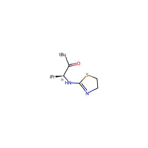 CC(C)[C@H](NC1=NCCS1)C(=O)C(C)(C)C